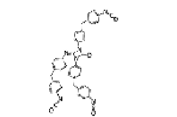 O=C=Nc1ccc(Cc2ccc(N=C3N(c4ccc(Cc5ccc(N=C=O)cc5)cc4)C(=O)N3c3ccc(Cc4ccc(N=C=O)cc4)cc3)cc2)cc1